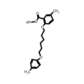 CCCOC(=O)c1cc(C)ccc1OCCCCCCOc1ccc(C)cc1